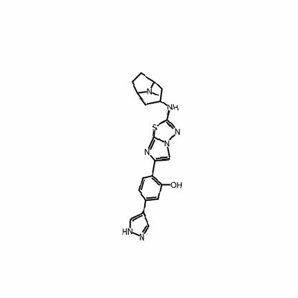 CN1C2CCC1CC(Nc1nn3cc(-c4ccc(-c5cn[nH]c5)cc4O)nc3s1)C2